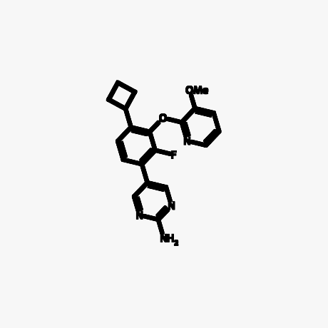 COc1cccnc1Oc1c(C2CCC2)ccc(-c2cnc(N)nc2)c1F